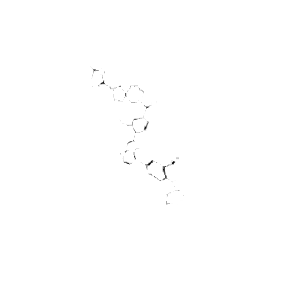 COc1cc(C(=O)N2CCCC3(CCN(C(=O)OC(C)(C)C)C3)C2)ccc1-c1cc2nccc(-c3ccc(OC4CCOCC4)c(C#N)c3)c2o1